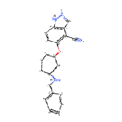 N#Cc1c(O[C@@H]2CCC[C@H](NCc3ccccc3)C2)ccc2[nH]ncc12